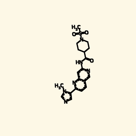 Cn1cncc1-c1ccc2cnc(NC(=O)C3CCN(S(C)(=O)=O)CC3)cc2n1